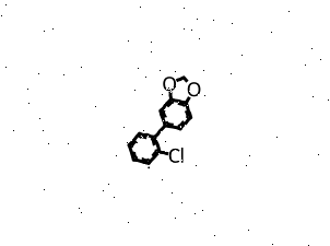 Clc1[c]cccc1-c1ccc2c(c1)OCO2